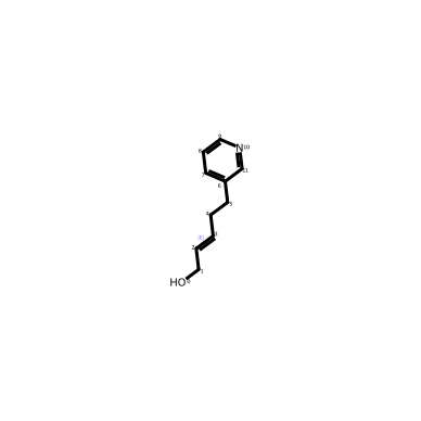 OC/C=C/CCc1cccnc1